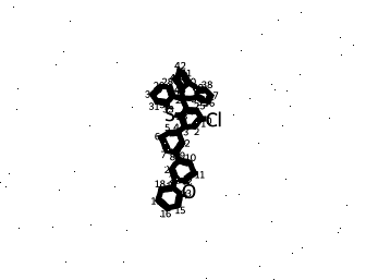 Clc1cc(-c2cccc(-c3ccc4oc5ccccc5c4c3)c2)c2c(c1)C1(c3ccccc3S2)c2ccccc2-c2ccccc21